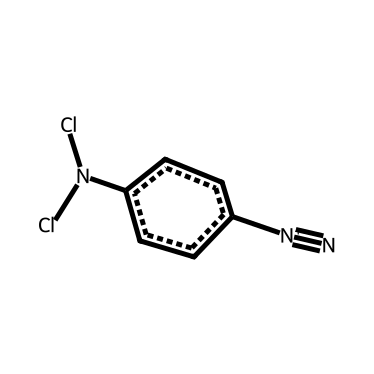 N#[N+]c1ccc(N(Cl)Cl)cc1